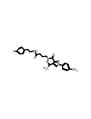 Cc1ccc(-n2cc3c(C)nn(CCCC(=O)NCCc4ccc(F)cc4)c(=O)c3n2)cc1